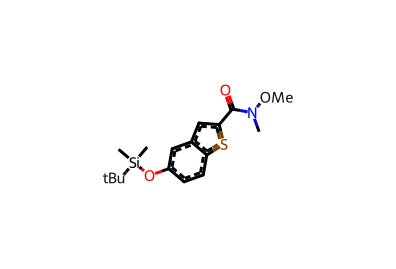 CON(C)C(=O)c1cc2cc(O[Si](C)(C)C(C)(C)C)ccc2s1